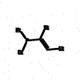 CC/C=C(\CC)P(CC)CC